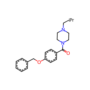 CC(C)CN1CCN(C(=O)c2ccc(OCc3ccccc3)cc2)CC1